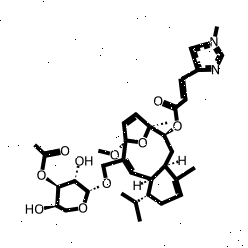 CO[C@]12C=C[C@](C)(O1)[C@@H](OC(=O)/C=C/c1cn(C)cn1)C[C@H]1C(C)=CC[C@H](C(C)C)[C@H]1/C=C\2CO[C@@H]1OC[C@@H](O)[C@@H](OC(C)=O)[C@@H]1O